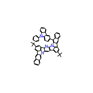 CC(C)(C)c1cc2c3cc4ccccc4cc3n3c4cc5c6cc(C(C)(C)C)cc7c8cc9ccccc9c(-c9ccc%10c(c9)c9ccccc9n%10-c9ccccc9)c8n(c5nc4c(c1)c23)c67